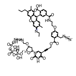 CCCc1cc2oc3c/c(=N/CC)c(C)cc-3c(-c3cc(C(=O)NCCOc4ccc(C(=O)OCC#Cc5cn([C@H]6C[C@@H](OCN=[N+]=[N-])[C@@H](COP(=O)(O)OP(=O)(O)OP(=O)(O)O)O6)c(=O)[nH]c5=O)c(CN=[N+]=[N-])c4)ccc3C(=O)O)c2cc1C